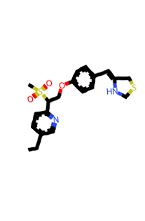 CCc1ccc(C(COc2ccc(C=C3CSCN3)cc2)S(C)(=O)=O)nc1